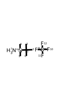 CC(C)(C)[Si](C)(C)[NH3+].F[B-](F)(F)F